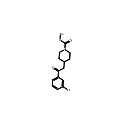 CC(C)(C)OC(=O)N1CCC(CC(=O)c2cccc(Cl)c2)CC1